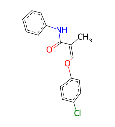 CC(=COc1ccc(Cl)cc1)C(=O)Nc1ccccc1